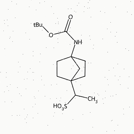 CC(C12CCC(NC(=O)OC(C)(C)C)(CC1)C2)S(=O)(=O)O